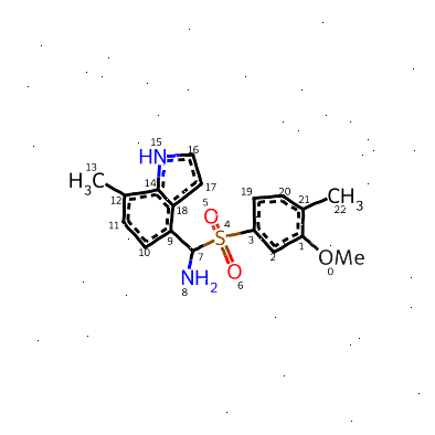 COc1cc(S(=O)(=O)C(N)c2ccc(C)c3[nH]ccc23)ccc1C